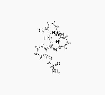 Cc1cccc(Cl)c1Nc1c(-c2ccccc2OCC(N)=O)nc2cccc(C)n12